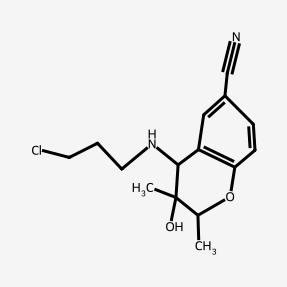 CC1Oc2ccc(C#N)cc2C(NCCCCl)C1(C)O